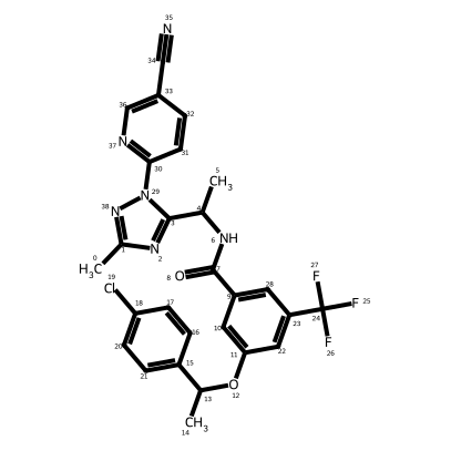 Cc1nc(C(C)NC(=O)c2cc(OC(C)c3ccc(Cl)cc3)cc(C(F)(F)F)c2)n(-c2ccc(C#N)cn2)n1